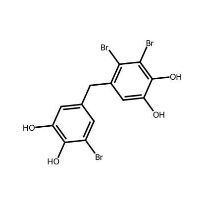 Oc1cc(Cc2cc(O)c(O)c(Br)c2Br)cc(Br)c1O